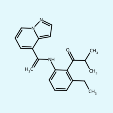 C=C(Nc1cccc(CC)c1C(=O)C(C)C)c1cccn2nccc12